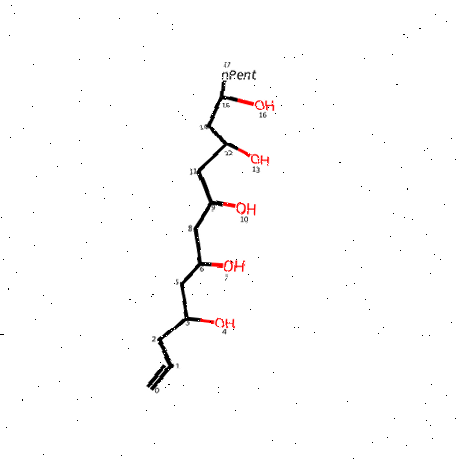 C=CCC(O)CC(O)CC(O)CC(O)CC(O)CCCCC